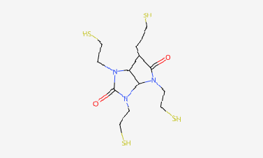 O=C1C(CCS)C2C(N1CCS)N(CCS)C(=O)N2CCS